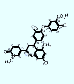 Cc1cc(Cl)ccc1C(C/C(=N\O)c1ccc(=O)n(C)c1)c1ccc(Oc2ccc(Cl)c(C(=O)O)c2)c(F)c1